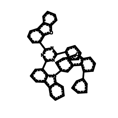 c1ccc(-c2nc(-c3cccc4c3oc3ccccc34)nc(-c3cccc4c5ccccc5n(-c5ccc6oc7cccc(-c8ccccc8)c7c6c5)c34)n2)cc1